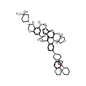 CC1(O)CCC([C@H]2COc3cc(S(=O)(=O)NC(=O)c4ccc(N5CCC6(CC5)CC(N5CCCC[C@]57CCOc5ccccc57)C6)cc4N4c5cc6cc[nH]c6nc5O[C@@H]5COC[C@H]54)cc([N+](=O)[O-])c3N2)CC1